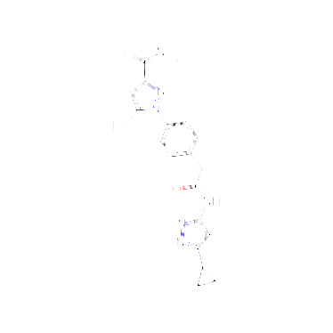 NC(=O)c1cc(O)n(-c2ccc(CC(=O)Nc3cc(C4CC4)[nH]n3)cc2)n1